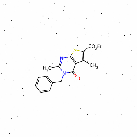 CCOC(=O)c1sc2nc(C)n(Cc3ccccc3)c(=O)c2c1C